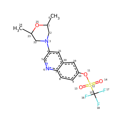 CC1CN(c2cnc3ccc(OS(=O)(=O)C(F)(F)F)cc3c2)CC(C)O1